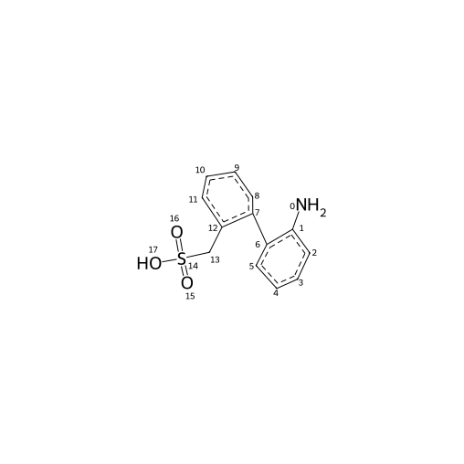 Nc1ccccc1-c1ccccc1CS(=O)(=O)O